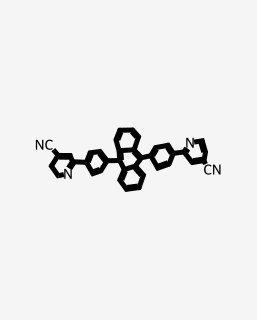 N#CC1=CC(c2ccc(-c3c4ccccc4c(-c4ccc(-c5cc(C#N)ccn5)cc4)c4ccccc34)cc2)=NCC1